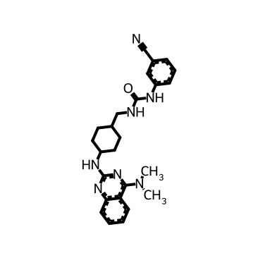 CN(C)c1nc(NC2CCC(CNC(=O)Nc3cccc(C#N)c3)CC2)nc2ccccc12